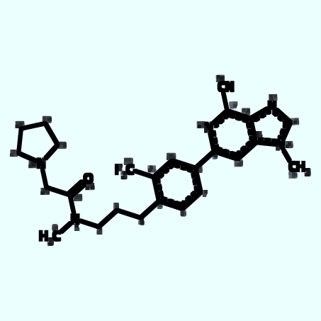 CN(CCCc1ccc(-c2cc3c(ncn3C)c(C#N)n2)cc1C(F)(F)F)C(=O)CN1CCCC1